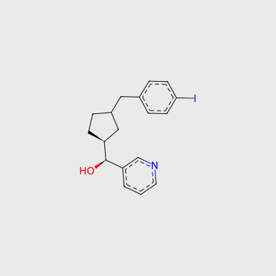 O[C@H](c1cccnc1)[C@H]1CCC(Cc2ccc(I)cc2)C1